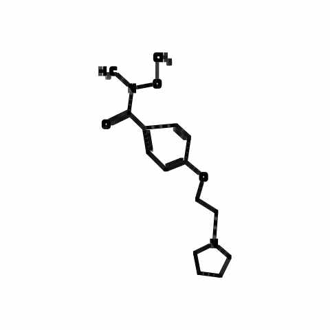 CON(C)C(=O)c1ccc(OCCN2CCCC2)cc1